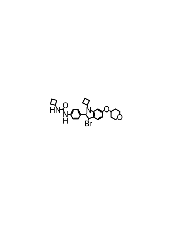 O=C(Nc1ccc(C2C(Br)c3ccc(OC4CCOCC4)cc3N2C2CCC2)cc1)NC1CCC1